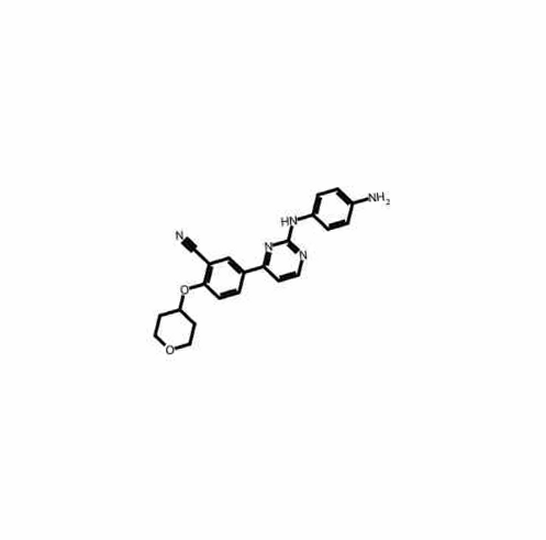 N#Cc1cc(-c2ccnc(Nc3ccc(N)cc3)n2)ccc1OC1CCOCC1